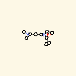 c1ccc(-n2c3ccccc3c3cc(-c4ccc(-c5ccc(N(c6ccc(-c7cccc8ccccc78)cc6)c6cccc7c6oc6ccccc67)cc5)cc4)ccc32)cc1